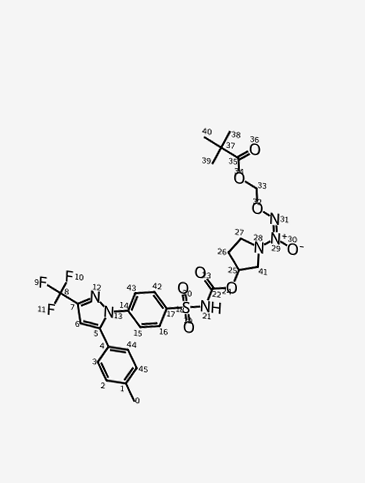 Cc1ccc(-c2cc(C(F)(F)F)nn2-c2ccc(S(=O)(=O)NC(=O)OC3CCN(/[N+]([O-])=N\OCOC(=O)C(C)(C)C)C3)cc2)cc1